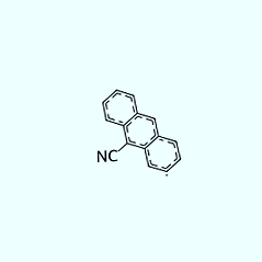 N#Cc1c2c[c]ccc2cc2ccccc12